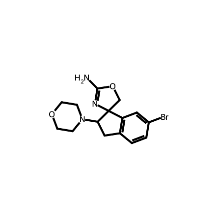 NC1=NC2(CO1)c1cc(Br)ccc1CC2N1CCOCC1